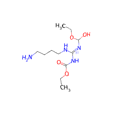 CCOC(=O)N/C(=N/C(O)OCC)NCCCCN